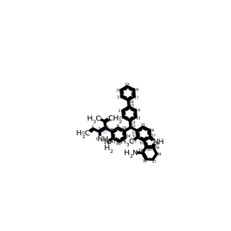 C=C/C(N)=C(\C(=C)C)c1cc(C(c2ccc(-c3ccccc3)cc2)c2ccc3[nH]c4c(c3c2C)C(N)=CCC4)ccc1N